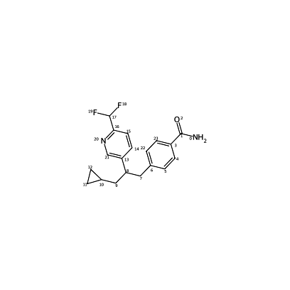 NC(=O)c1ccc(CC(CC2CC2)c2ccc(C(F)F)nc2)cc1